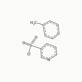 Cc1ccccc1.O=S(=O)(Cl)c1cccnc1